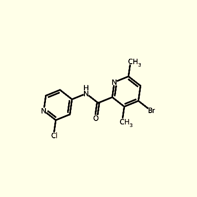 Cc1cc(Br)c(C)c(C(=O)Nc2ccnc(Cl)c2)n1